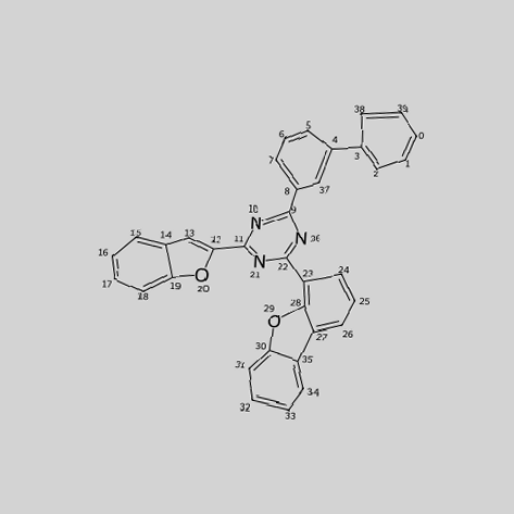 c1ccc(-c2cccc(-c3nc(-c4cc5ccccc5o4)nc(-c4cccc5c4oc4ccccc45)n3)c2)cc1